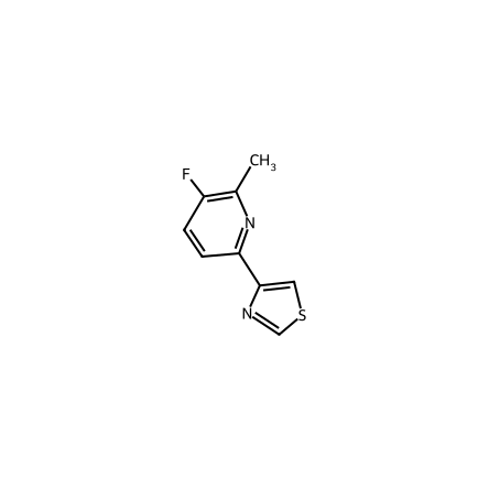 Cc1nc(-c2cscn2)ccc1F